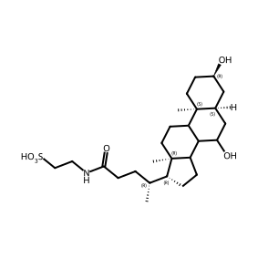 C[C@H](CCC(=O)NCCS(=O)(=O)O)[C@H]1CCC2C3C(O)C[C@@H]4C[C@H](O)CC[C@]4(C)C3CC[C@@]21C